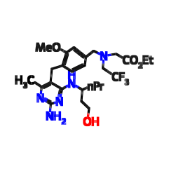 CCCC(CCO)Nc1nc(N)nc(C)c1Cc1ccc(CN(CC(=O)OCC)CC(F)(F)F)cc1OC